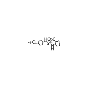 CCOCc1ccc(CSC(=O)Nc2ccccc2C(=O)O)cc1